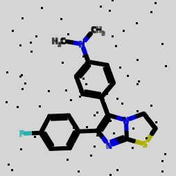 CN(C)c1ccc(-c2c(-c3ccc(F)cc3)nc3n2CCS3)cc1